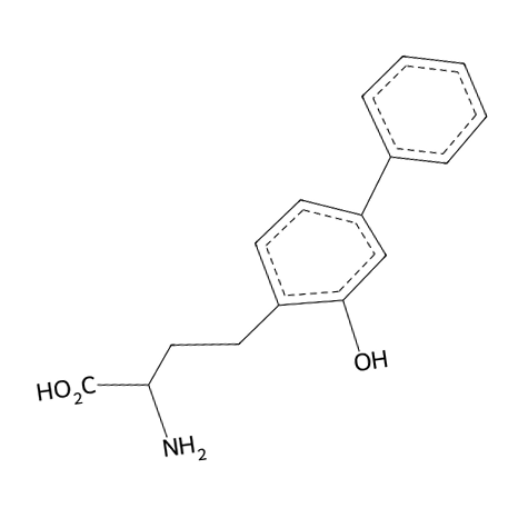 NC(CCc1ccc(-c2ccccc2)cc1O)C(=O)O